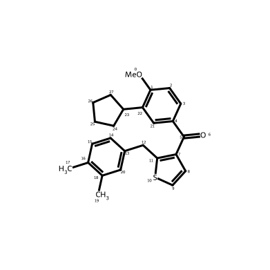 COc1ccc(C(=O)c2ccsc2Cc2ccc(C)c(C)c2)cc1C1CCCC1